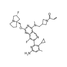 C=CC(=O)N1CC(CN(C)c2nc(OC[C@@]34CCCN3C[C@H](F)C4)nc3c(F)c(-c4nc(N)cc(C)c4C4CC4)ncc23)C1